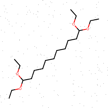 CCOC(CCCCCCCCCC(OCC)OCC)OCC